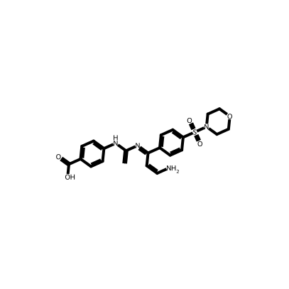 C=C(/N=C(\C=C/N)c1ccc(S(=O)(=O)N2CCOCC2)cc1)Nc1ccc(C(=O)O)cc1